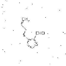 C=CCSc1ccsc1C=O